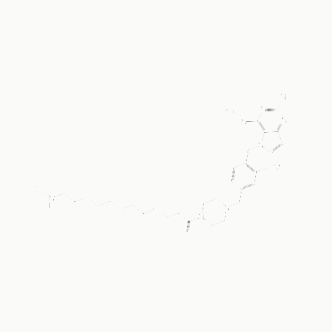 CCCCCNc1nc(N)nc2ccn(Cc3ccc(CN4CCN(C(=O)CCOCCOCCOCCNCC)CC4)cc3OC)c12